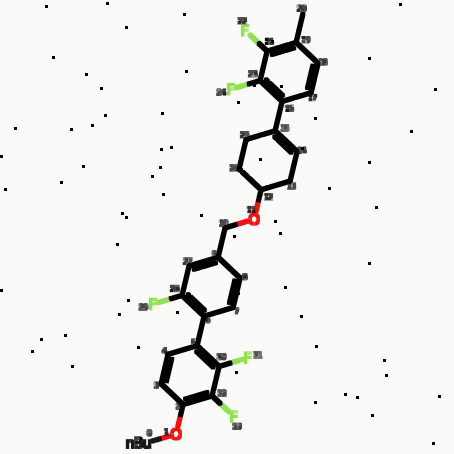 CCCCOc1ccc(-c2ccc(COC3CC=C(c4ccc(C)c(F)c4F)CC3)cc2F)c(F)c1F